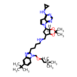 CC1(C)OC2C(CNCCCCc3nc4cc(C(C)(C)C)ccc4n3COCC[Si](C)(C)C)CC(n3ccc4c(NC5CC5)ncnc43)[C@@H]2O1